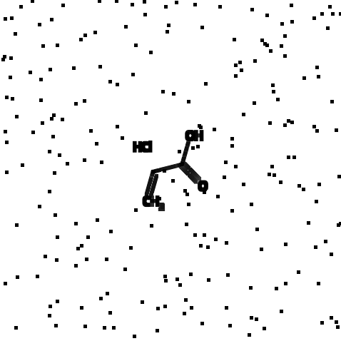 C=CC(=O)O.Cl